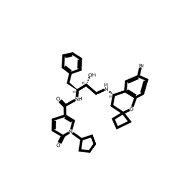 O=C(N[C@@H](Cc1ccccc1)[C@H](O)CN[C@H]1CC2(CCC2)Oc2ccc(Br)cc21)c1ccc(=O)n(C2CCCC2)c1